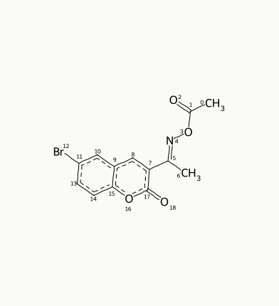 CC(=O)ON=C(C)c1cc2cc(Br)ccc2oc1=O